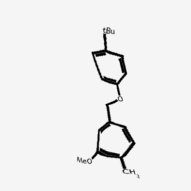 COc1cc(COc2ccc(C(C)(C)C)cc2)ccc1C